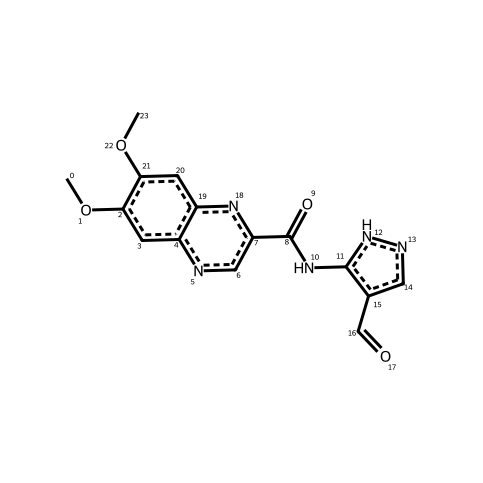 COc1cc2ncc(C(=O)Nc3[nH]ncc3C=O)nc2cc1OC